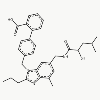 CCCc1nc2c(C)cc(CNC(=O)C(S)CC(C)C)cc2n1Cc1ccc(-c2ccccc2C(=O)O)cc1